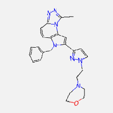 Cc1nnc2ccc3c(cc(-c4ccn(CCN5CCOCC5)n4)n3Cc3ccccc3)n12